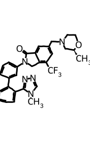 C[C@H]1CN(Cc2cc3c(c(C(F)(F)F)c2)CN(c2cccc(-c4ccccc4-c4nncn4C)c2)C3=O)CCO1